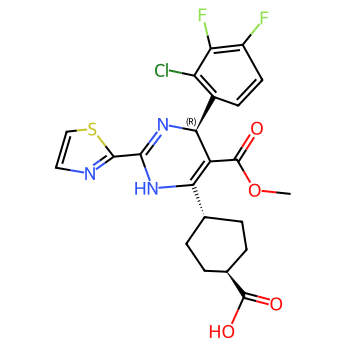 COC(=O)C1=C([C@H]2CC[C@H](C(=O)O)CC2)NC(c2nccs2)=N[C@H]1c1ccc(F)c(F)c1Cl